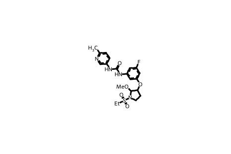 CCS(=O)(=O)N1CCC(Oc2cc(F)cc(NC(=O)Nc3ccc(C)nc3)c2)C1OC